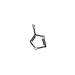 Brc1[c]ocn1